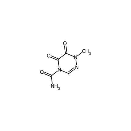 Cn1n[c]n(C(N)=O)c(=O)c1=O